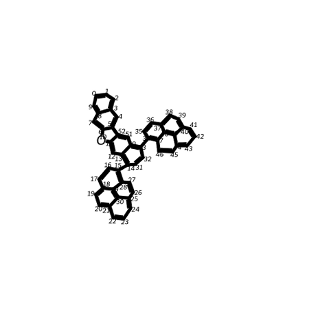 c1ccc2cc3c(cc2c1)oc1cc2c(-c4ccc5ccc6cccc7ccc4c5c67)ccc(-c4ccc5ccc6cccc7ccc4c5c67)c2cc13